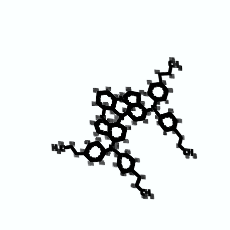 CCCc1ccc(N(c2ccc(CCC)cc2)c2ccc3c4c2ccn4-c2cccc4c2B3c2ccc(N(c3ccc(CCC)cc3)c3ccc(CCC)cc3)c3ccn-4c23)cc1